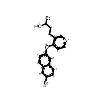 CCC(O)CCc1cnccc1Oc1ccc2cc(Br)ccc2c1